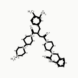 Cc1ccc(CC(CC(=O)N2CCC(N3Cc4ccccc4NC3=O)CC2)C(=O)N2CCC(N3CCN(C)CC3)CC2)cc1C